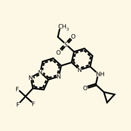 CCS(=O)(=O)c1ccc(NC(=O)C2CC2)nc1-c1ccn2nc(C(F)(F)F)cc2n1